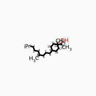 CC(C)CCCC(C)CCCC1CCC(C)(C(C)O)CC1